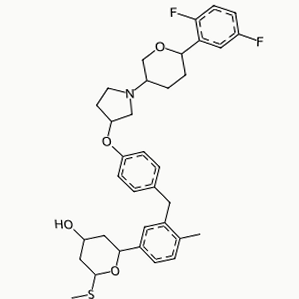 CSC1CC(O)CC(c2ccc(C)c(Cc3ccc(OC4CCN(C5CCC(c6cc(F)ccc6F)OC5)C4)cc3)c2)O1